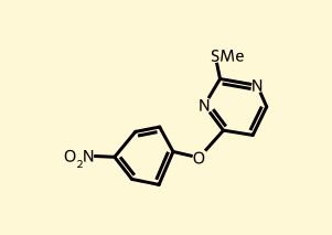 CSc1nccc(Oc2ccc([N+](=O)[O-])cc2)n1